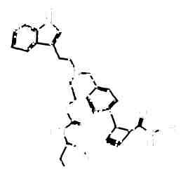 CCC(CC)NC(=O)OCCN(CCc1c[nH]c2ccccc12)Cc1ccc(C2C#CC2C(=O)NO)cc1